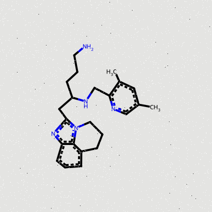 Cc1cnc(CNC(CCCN)Cc2nc3cccc4c3n2CCC4)c(C)c1